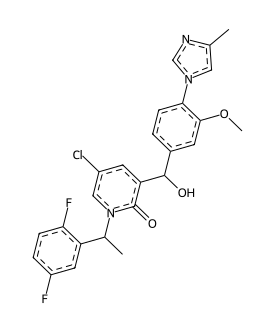 COc1cc(C(O)c2cc(Cl)cn(C(C)c3cc(F)ccc3F)c2=O)ccc1-n1cnc(C)c1